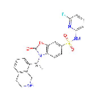 C[C@H](c1cccc2c1CNCC2)n1c(=O)oc2cc(S(=O)(=O)Nc3cccc(F)n3)ccc21